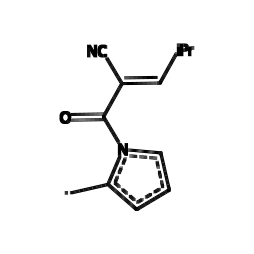 [CH2]c1cccn1C(=O)C(C#N)=CC(C)C